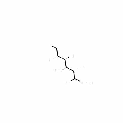 [CH2]CCCCC(O)[C@@H](O)[C@@H](O)[C@H](O)[C@H](O)CO